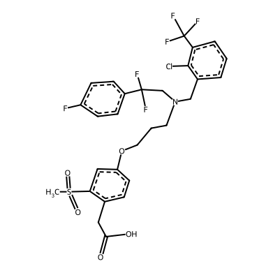 CS(=O)(=O)c1cc(OCCCN(Cc2cccc(C(F)(F)F)c2Cl)CC(F)(F)c2ccc(F)cc2)ccc1CC(=O)O